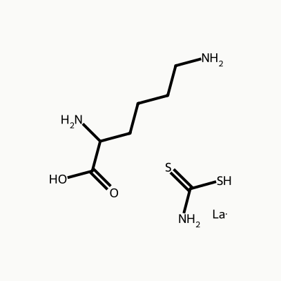 NC(=S)S.NCCCCC(N)C(=O)O.[La]